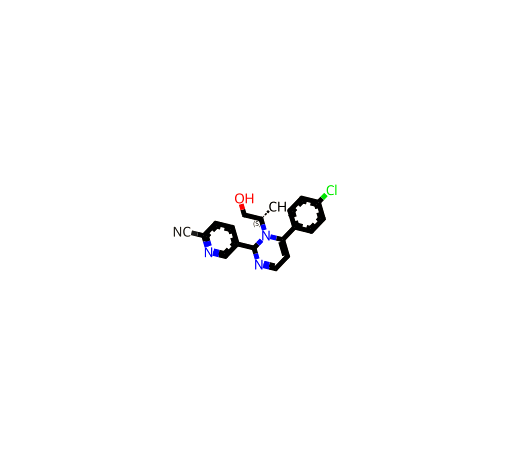 C[C@@H](CO)N1C(c2ccc(Cl)cc2)=CC=NC1c1ccc(C#N)nc1